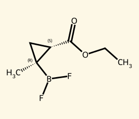 CCOC(=O)[C@H]1C[C@]1(C)B(F)F